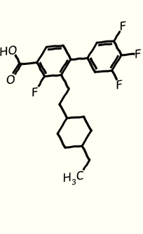 CCC1CCC(CCc2c(-c3cc(F)c(F)c(F)c3)ccc(C(=O)O)c2F)CC1